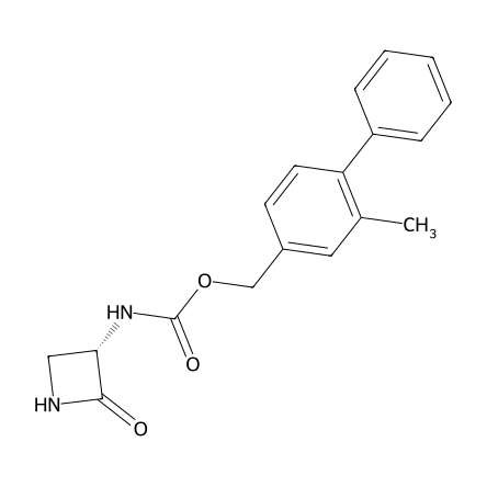 Cc1cc(COC(=O)N[C@H]2CNC2=O)ccc1-c1ccccc1